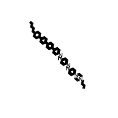 CCCCCC1CCC(c2ccc(-c3ccc(-c4ccc(N=Nc5ccc(N=Nc6ccc(N7CCN(CCCC)CC7)cc6)cc5)cc4)cc3)cc2)CC1